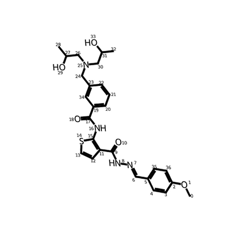 COc1ccc(C=NNC(=O)c2ccsc2NC(=O)c2cccc(CN(CC(C)O)CC(C)O)c2)cc1